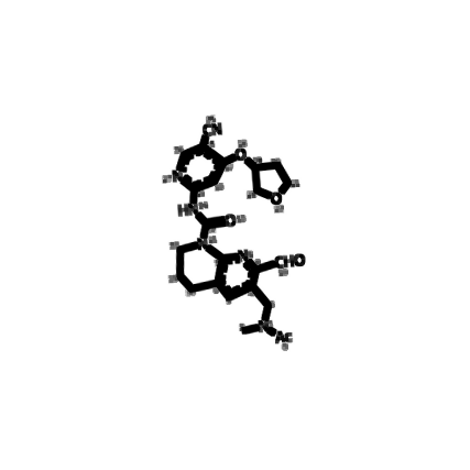 CC(=O)N(C)Cc1cc2c(nc1C=O)N(C(=O)Nc1cc(OC3CCOC3)c(C#N)cn1)CCC2